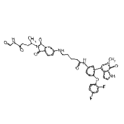 CC(CCC(=O)NC=O)N1C(=O)c2ccc(NCCCCC(=O)Nc3ccc(Oc4ccc(F)cc4F)c(-c4cn(C)c(=O)c5[nH]ccc45)c3)cc2C1=O